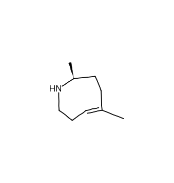 C/C1=C\CCN[C@@H](C)CC1